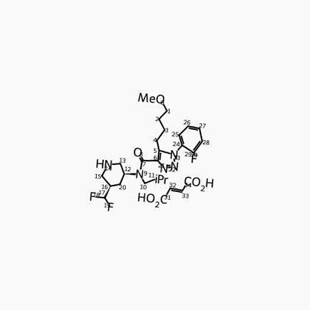 COCCCCc1c(C(=O)N(CC(C)C)[C@@H]2CNC[C@H](C(F)F)C2)nnn1-c1ccccc1F.O=C(O)C=CC(=O)O